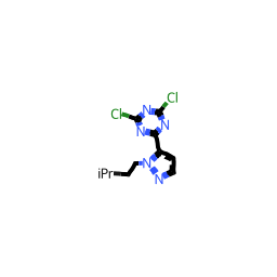 CC(C)CCn1nccc1-c1nc(Cl)nc(Cl)n1